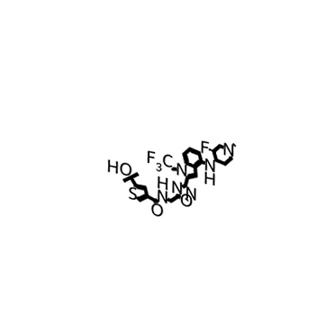 CN1CC[C@@H](Nc2cccc3c2cc(-c2noc(CNC(=O)c4csc(C(C)(C)O)c4)n2)n3CC(F)(F)F)[C@@H](F)C1